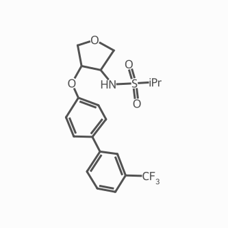 CC(C)S(=O)(=O)NC1COCC1Oc1ccc(-c2cccc(C(F)(F)F)c2)cc1